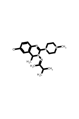 C/C(=N\N1C(N2CCN(C)CC2)=Nc2ccc(Cl)cc2C1C)C(C)C